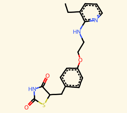 CCc1cccnc1NCCOc1ccc(CC2SC(=O)NC2=O)cc1